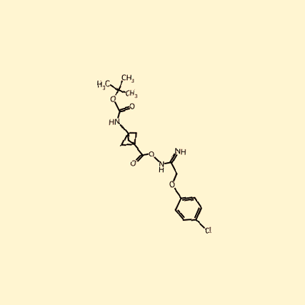 CC(C)(C)OC(=O)NC12CC(C(=O)ONC(=N)COc3ccc(Cl)cc3)(C1)C2